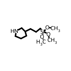 CO[Si](CCCC1CCCNC1)(OC)OC